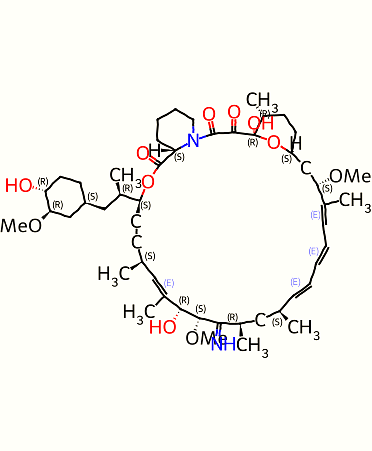 CO[C@H]1C[C@@H]2CC[C@@H](C)[C@@](O)(O2)C(=O)C(=O)N2CCCC[C@H]2C(=O)O[C@H]([C@H](C)C[C@@H]2CC[C@@H](O)[C@H](OC)C2)CC[C@H](C)/C=C(\C)[C@@H](O)[C@@H](OC)C(=N)[C@H](C)C[C@H](C)/C=C/C=C/C=C/1C